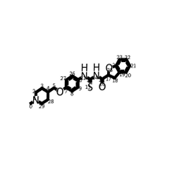 CN1CCC(COc2ccc(NC(=S)NC(=O)C3Cc4ccccc4O3)cc2)CC1